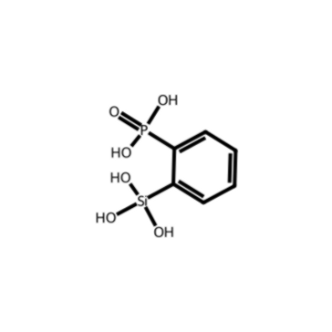 O=P(O)(O)c1ccccc1[Si](O)(O)O